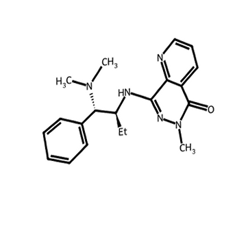 CC[C@H](Nc1nn(C)c(=O)c2cccnc12)[C@H](c1ccccc1)N(C)C